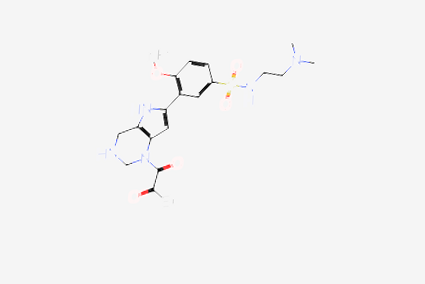 CCCOc1ccc(S(=O)(=O)NCCN(C)C)cc1-c1cc2c([nH]1)CNCN2C(=O)C(=O)CC